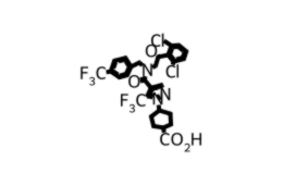 O=C(CN(Cc1ccc(C(F)(F)F)cc1)C(=O)c1cnn(C2CCC(C(=O)O)CC2)c1C(F)(F)F)c1c(Cl)cccc1Cl